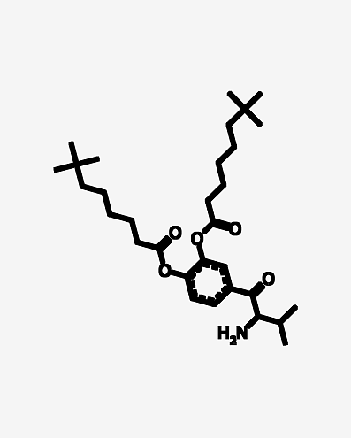 CC(C)C(N)C(=O)c1ccc(OC(=O)CCCCCC(C)(C)C)c(OC(=O)CCCCCC(C)(C)C)c1